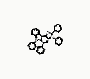 c1ccc(-c2cc3c(nc(-c4ccccc4)n3-c3ccccc3)c3c4ccccc4n(-c4ccccc4)c23)cc1